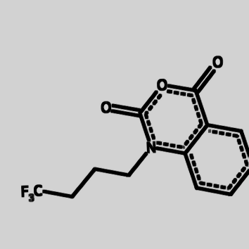 O=c1oc(=O)n(CCCC(F)(F)F)c2ccccc12